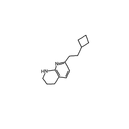 c1cc2c(nc1CCC1CCC1)NCCC2